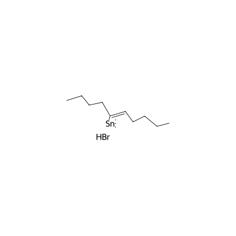 Br.CCCCC=[C]([Sn])CCCC